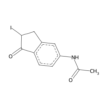 CC(=O)Nc1ccc2c(c1)CC(I)C2=O